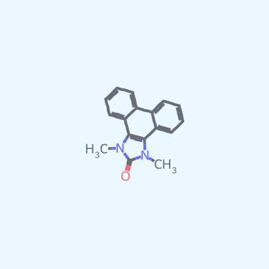 Cn1c(=O)n(C)c2c3ccccc3c3ccccc3c21